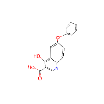 O=C(O)c1cnc2ccc(Oc3ccccc3)cc2c1O